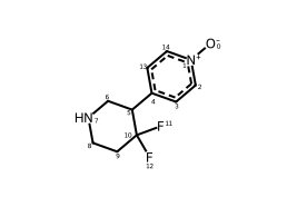 [O-][n+]1ccc(C2CNCCC2(F)F)cc1